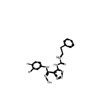 O=C(NCCc1ccccc1)Nc1nonc1/C(=N\O)Nc1ccc(F)c(Br)c1